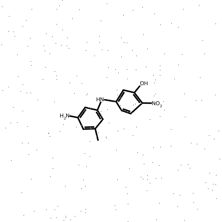 Cc1cc(N)cc(Nc2ccc([N+](=O)[O-])c(O)c2)c1